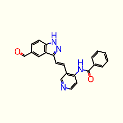 O=Cc1ccc2[nH]nc(C=Cc3cnccc3NC(=O)c3ccccc3)c2c1